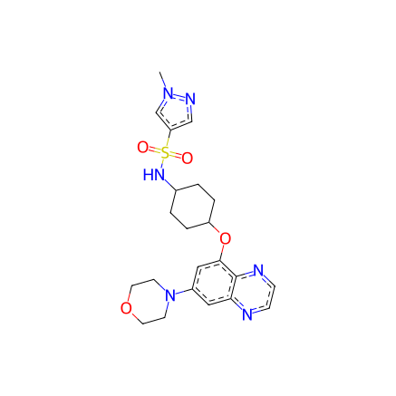 Cn1cc(S(=O)(=O)NC2CCC(Oc3cc(N4CCOCC4)cc4nccnc34)CC2)cn1